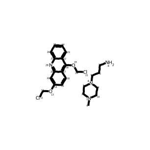 CN1CCN(CCCN)CC1.ClCOc1ccc2c(OCCl)c3ccccc3nc2c1